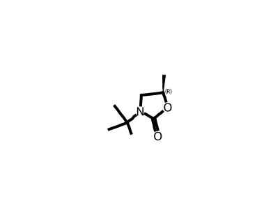 C[C@@H]1CN(C(C)(C)C)C(=O)O1